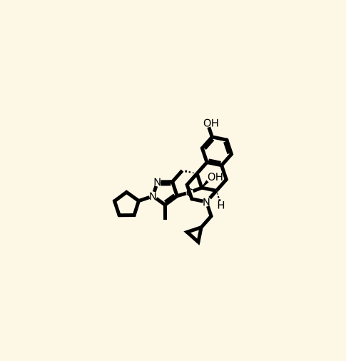 Cc1c2c(nn1C1CCCC1)C[C@]13CCN(CC4CC4)[C@H](Cc4ccc(O)cc41)[C@]3(O)C2